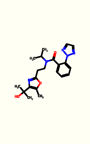 Cc1oc(CCN(C(=O)c2ccccc2-n2nccn2)C(C)C)nc1C(C)(C)O